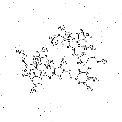 C=CC[C@@H]1O[C@@H]2C[C@@H](O[C@@]3(CCC4CC(=C)[C@H](CCC5CC(C)C(=C)C(C[C@@H]6O[C@H](CC(CO[Si](CC)(CC)CC)O[Si](CC)(CC)CC)[C@H](OC)C6CCO)O5)O4)CC(O)C2O3)C1O[Si](CC)(CC)CC